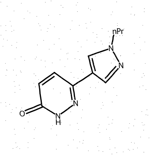 CCCn1cc(-c2ccc(=O)[nH]n2)cn1